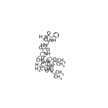 CCCCC(NC(=O)[C@@H]1C[C@@H](OC(C)(C)C)CN1C(=O)[C@@H](NC(=O)OCC(C)C)C(C)(C)C)C(=O)C(=O)NCC(=O)N[C@H](C(N)=O)c1ccccc1